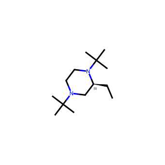 CC[C@H]1CN(C(C)(C)C)CCN1C(C)(C)C